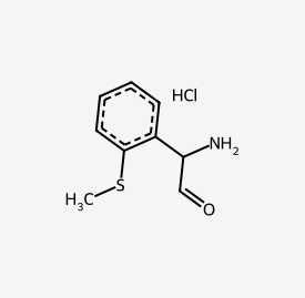 CSc1ccccc1C(N)C=O.Cl